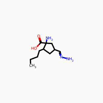 CCCCC1CC(C=NN)CC1(N)C(=O)O